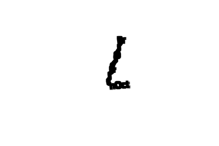 CCCCCCCC/C=C\CCCCCCCCOCCCCBr